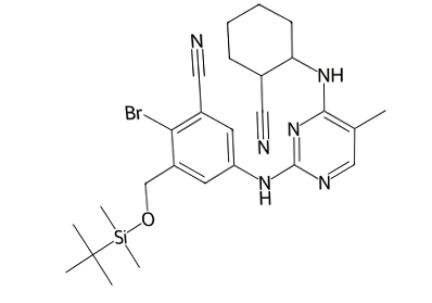 Cc1cnc(Nc2cc(C#N)c(Br)c(CO[Si](C)(C)C(C)(C)C)c2)nc1NC1CCCCC1C#N